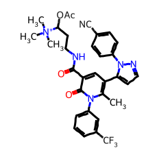 CC(=O)OC(CCNC(=O)c1cc(-c2ccnn2-c2ccc(C#N)cc2)c(C)n(-c2cccc(C(F)(F)F)c2)c1=O)[N+](C)(C)C